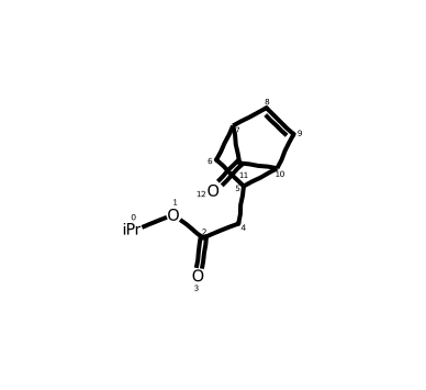 CC(C)OC(=O)CC1CC2C=CC1C2=O